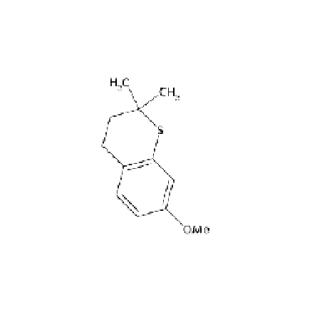 COc1ccc2c(c1)SC(C)(C)CC2